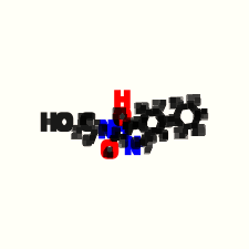 CC(NC(=O)c1ncc2cc(C3CCCCC3)ccc2c1O)C(=O)O